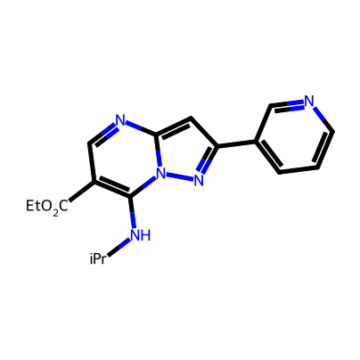 CCOC(=O)c1cnc2cc(-c3cccnc3)nn2c1NC(C)C